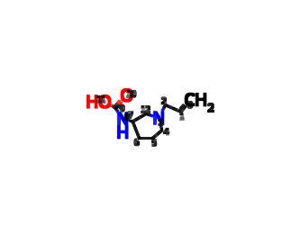 C=CCN1CCCC(NC(=O)O)C1